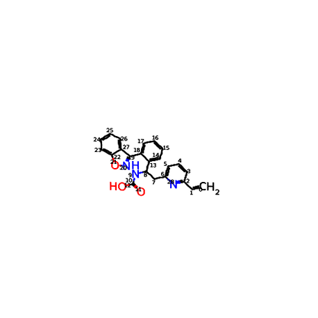 C=Cc1cccc(CC(NC(=O)O)c2ccccc2-c2noc3ccccc23)n1